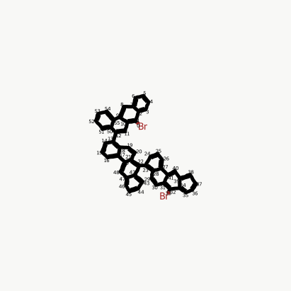 Brc1c2ccccc2cc2c1cc(-c1cccc3c1ccc1c(-c4cccc5c4ccc4c(Br)c6ccccc6cc45)c4ccccc4cc13)c1ccccc12